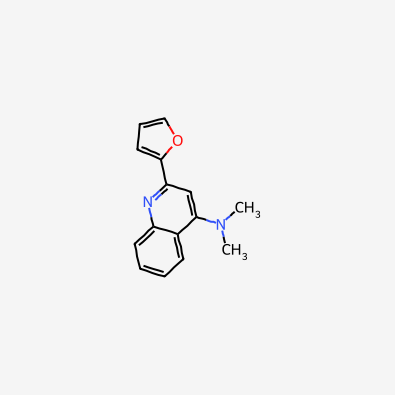 CN(C)c1cc(-c2ccco2)nc2ccccc12